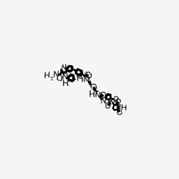 CN(CC(=O)NCCOCCNC(=O)c1ccc(-c2ccc3ncc(C(N)=O)c(Nc4ccccc4)c3c2)cc1)c1cccc2c1C(=O)N(C1CCC(=O)NC1=O)C2=O